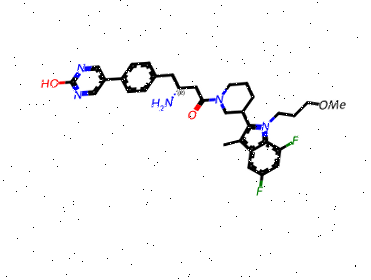 COCCCn1c(C2CCCN(C(=O)C[C@H](N)Cc3ccc(-c4cnc(O)nc4)cc3)C2)c(C)c2cc(F)cc(F)c21